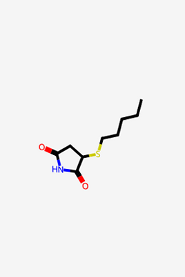 CCCCCSC1CC(=O)NC1=O